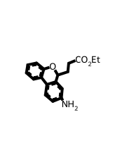 CCOC(=O)CCC1Oc2ccccc2-c2ccc(N)cc21